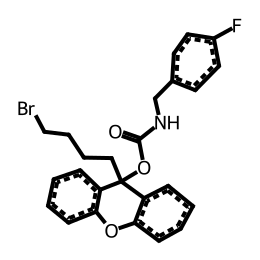 O=C(NCc1ccc(F)cc1)OC1(CCCCBr)c2ccccc2Oc2ccccc21